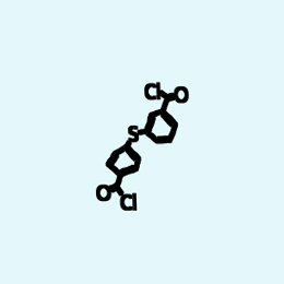 O=C(Cl)c1ccc(Sc2cccc(C(=O)Cl)c2)cc1